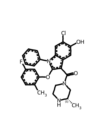 Cc1ccc(F)cc1Oc1c(C(=O)N2CCN[C@@H](C)C2)c2cc(O)c(Cl)cc2n1-c1ccccc1